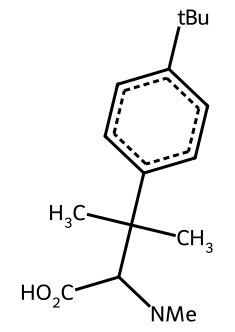 CNC(C(=O)O)C(C)(C)c1ccc(C(C)(C)C)cc1